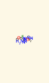 CC(C)C=C(C#N)C(=O)N1CCC[C@@H]1CCn1nc(-c2ccc(Oc3ccccc3)cc2F)c2c(N)ncnc21